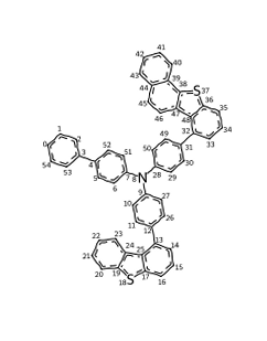 c1ccc(-c2ccc(N(c3ccc(-c4cccc5sc6ccccc6c45)cc3)c3ccc(-c4cccc5sc6c7ccccc7ccc6c45)cc3)cc2)cc1